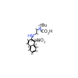 CC(C)(C)N(CCNc1ccc2ccccc2c1[N+](=O)[O-])C(=O)O